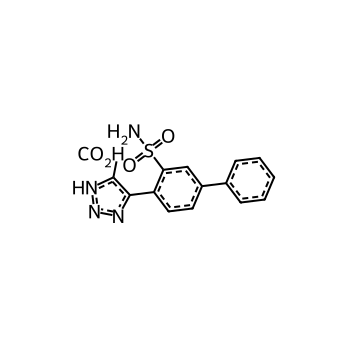 NS(=O)(=O)c1cc(-c2ccccc2)ccc1-c1nn[nH]c1C(=O)O